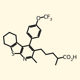 Cc1nc2sc3c(c2c(-c2ccc(OC(F)(F)F)cc2)c1CCCC(C)C(=O)O)CCCC3